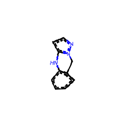 c1ccc2c(c1)Cn1nccc1N2